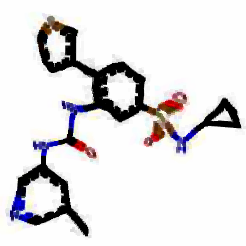 Cc1cncc(NC(=O)Nc2cc(S(=O)(=O)NC3CC3)ccc2-c2ccsc2)c1